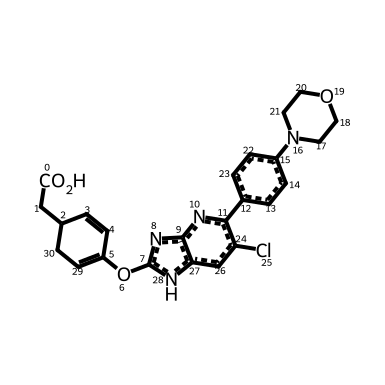 O=C(O)CC1C=CC(Oc2nc3nc(-c4ccc(N5CCOCC5)cc4)c(Cl)cc3[nH]2)=CC1